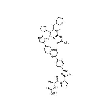 COC(=O)N[C@H](C(=O)N1CCC[C@H]1c1nc(-c2ccc(-c3cnc4cc(-c5cnc([C@@H]6CCCN6C(=O)[C@@H](Cc6ccccc6)N(C)C(=O)OC(=O)C(F)(F)F)[nH]5)ccc4n3)cc2)c[nH]1)C(C)C